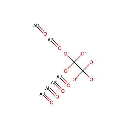 [O-]C([O-])([O-])C([O-])([O-])[O-].[O]=[Al+].[O]=[Al+].[O]=[Al+].[O]=[Al+].[O]=[Al+].[O]=[Al+]